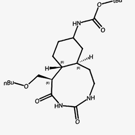 CCCCOC[C@@H]1C(=O)NC(=O)NCC[C@@H]2CC(NC(=O)OC(C)(C)C)CC[C@H]21